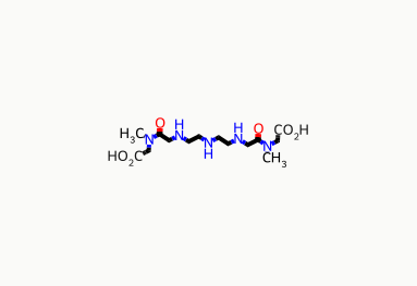 CN(CC(=O)O)C(=O)CNCCNCCNCC(=O)N(C)CC(=O)O